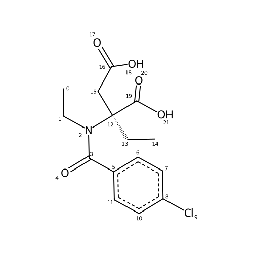 CCN(C(=O)c1ccc(Cl)cc1)[C@@](CC)(CC(=O)O)C(=O)O